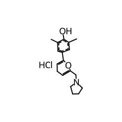 Cc1cc(C2=CCC=C(CN3CCCC3)O2)cc(C)c1O.Cl